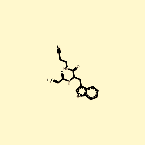 C=CC(=O)NC(Cc1c[nH]c2ccccc12)C(=O)NCCC#N